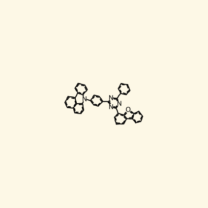 c1ccc(-c2nc(-c3ccc(N4c5ccccc5-c5cccc6cccc4c56)cc3)nc(-c3cccc4c3oc3ccccc34)n2)cc1